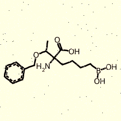 CC(OCc1ccccc1)C(N)(CCCCB(O)O)C(=O)O